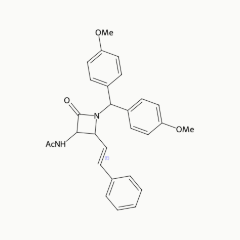 COc1ccc(C(c2ccc(OC)cc2)N2C(=O)C(NC(C)=O)C2/C=C/c2ccccc2)cc1